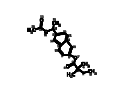 CCC(C)(C)C(=O)Oc1ccc2cc(C(C)OC(C)=O)ccc2c1